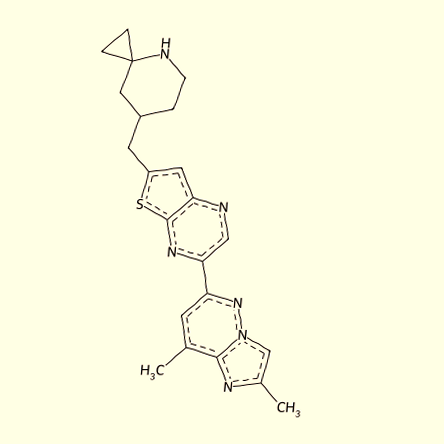 Cc1cn2nc(-c3cnc4cc(CC5CCNC6(CC6)C5)sc4n3)cc(C)c2n1